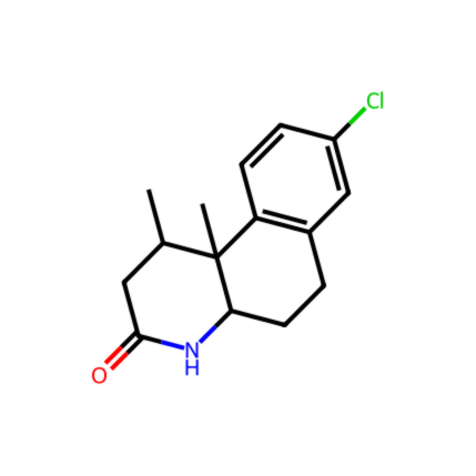 CC1CC(=O)NC2CCc3cc(Cl)ccc3C12C